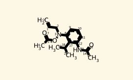 C=CCN(OC(C)=O)c1cccc(NC(C)=O)c1C(C)C